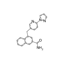 NC(=O)c1cc(Cc2ccc(-n3cccn3)nc2)c2ccccc2c1